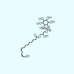 CCC/C=C\C/C=C\CCCCCCCC(=O)OCC(O)COP(=O)(O)OC1C(O)C(O)C(O)C(O)C1O